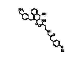 CCOc1ccc(CC(=O)CNCCC(=O)N[C@H](C(=O)NCc2ccc(CN)cc2)[C@@H](O)c2ccccc2)cc1